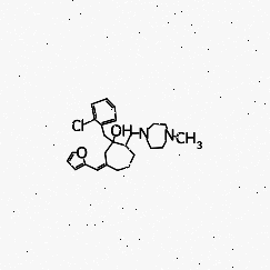 CN1CCN(CC2CCCC(=Cc3ccco3)CC2(O)Cc2ccccc2Cl)CC1